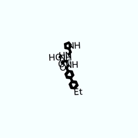 CCc1ccc(-c2ccc(C(=O)N[C@@H](CNCC3CCCN3)C(=O)NO)cc2)cc1